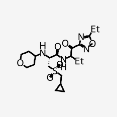 CCc1nc(C(=O)C(CC)NC(=O)[C@H](CS(=O)(=O)CC2CC2)NC2CCOCC2)no1